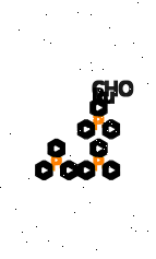 O=[CH][Ru].c1ccc(P(c2ccccc2)c2ccccc2)cc1.c1ccc(P(c2ccccc2)c2ccccc2)cc1.c1ccc(P(c2ccccc2)c2ccccc2)cc1